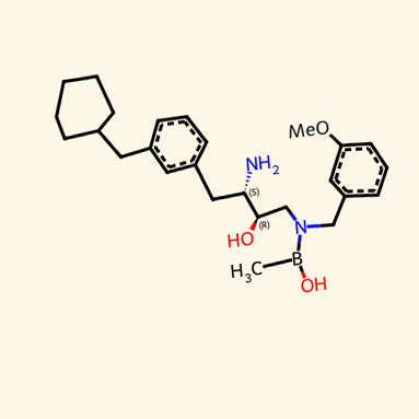 COc1cccc(CN(C[C@@H](O)[C@@H](N)Cc2cccc(CC3CCCCC3)c2)B(C)O)c1